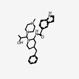 CC(O)C(N1CCN(C)CC1)N1CCC(Cc2ccccc2)CC1NC(=O)c1ccc2[nH]ccc2c1